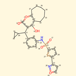 O=c1oc2c(c(O)c1C(c1cccc(NS(=O)(=O)c3ccc(-c4ccon4)s3)c1)C1CC1)CCCCCC2